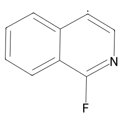 Fc1nc[c]c2ccccc12